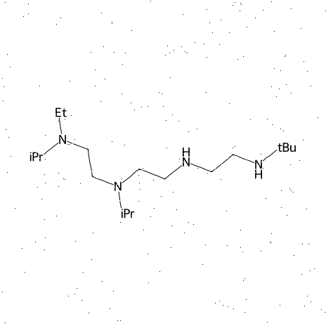 CCN(CCN(CCNCCNC(C)(C)C)C(C)C)C(C)C